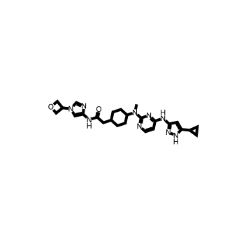 CN(c1nccc(Nc2cc(C3CC3)[nH]n2)n1)C1CCC(CC(=O)Nc2cn(C3COC3)cn2)CC1